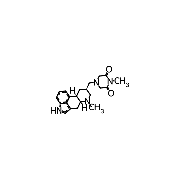 CN1C(=O)CN(C[C@@H]2C[C@@H]3c4cccc5[nH]cc(c45)C[C@H]3N(C)C2)CC1=O